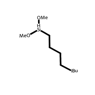 CCC(C)CCCC[SiH](OC)OC